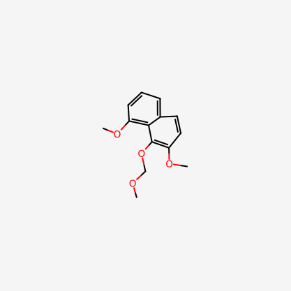 COCOc1c(OC)ccc2cccc(OC)c12